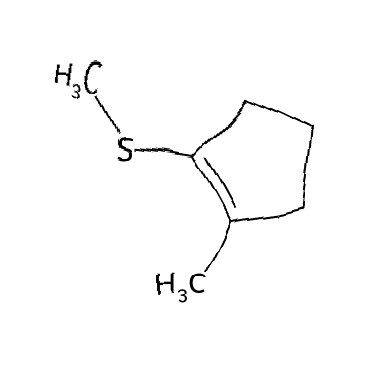 CSC1=C(C)CCC1